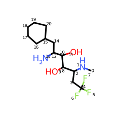 CNC(CC(F)(F)F)C(O)C(O)C(N)CC1CCCCC1